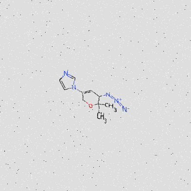 CC1(C)OCC(n2ccnc2)=CC1N=[N+]=[N-]